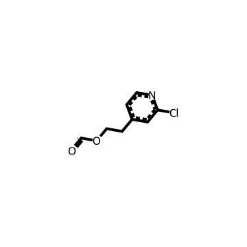 O=[C]OCCc1ccnc(Cl)c1